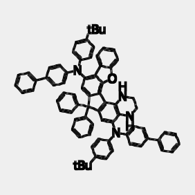 CC(C)(C)c1ccc(N(c2ccc(-c3ccccc3)cc2)c2cc3c(c4c2NCCN4)-c2c(cc(N(c4ccc(-c5ccccc5)cc4)c4ccc(C(C)(C)C)cc4)c4c2oc2ccccc24)C3(c2ccccc2)c2ccccc2)cc1